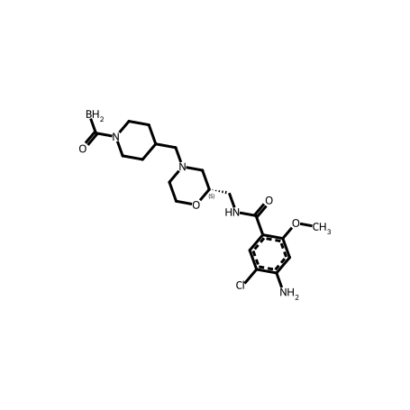 BC(=O)N1CCC(CN2CCO[C@@H](CNC(=O)c3cc(Cl)c(N)cc3OC)C2)CC1